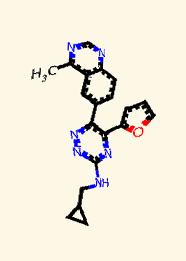 Cc1ncnc2ccc(-c3nnc(NCC4CC4)nc3-c3ccco3)cc12